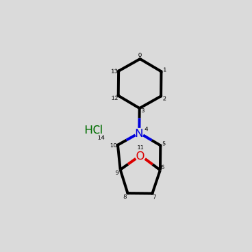 C1CCC(N2CC3CCC(C2)O3)CC1.Cl